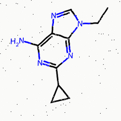 CCn1cnc2c(N)nc(C3CC3)nc21